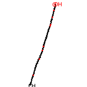 CCCCCCCCCCCCCCCCCCCCCCCCCCCCCCCCCCCCCCCCCCCCCCCCCCCCCCCCCCCCCCCCCCCCCCCCCCCCCCCCCCCCCCCCCC(=O)O